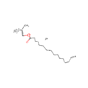 CCCCCCCC/C=C\CCCCCCCCCCCC(=O)OC=C(C)C(=O)O.[Zn]